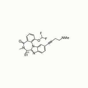 CC[C@@H]1c2nc3ccc(C#CCCNC)cc3n2-c2c(OC(F)F)cccc2C(=O)N1C